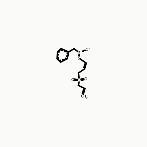 C=CCS(=O)(=O)C/C=C\S[S+]([O-])Cc1ccccc1